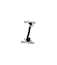 COC1=C(OC)C(=O)C(CCCCCCCCCCOC(=O)C(COC(C)=O)OC(C)=O)=C(C)C1=O